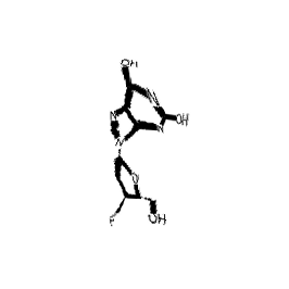 OC[C@H]1O[C@@H](n2cnc3c(O)nc(O)nc32)C[C@@H]1F